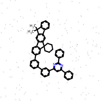 CC1(C)c2ccccc2-c2cc3c(cc21)-c1ccc(-c2cccc(-c4cccc(-c5cc(-c6ccccc6)nc(-c6ccccc6)n5)c4)c2)cc1C31CCCCC1